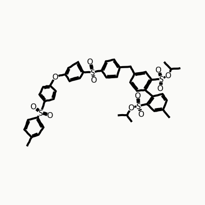 Cc1ccc(S(=O)(=O)c2ccc(Oc3ccc(S(=O)(=O)c4ccc(Cc5ccc(-c6ccc(C)cc6S(=O)(=O)OC(C)C)c(S(=O)(=O)OC(C)C)c5)cc4)cc3)cc2)cc1